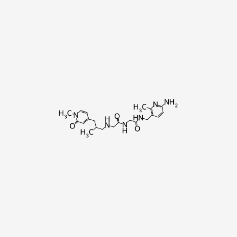 Cc1nc(N)ccc1CNC(=O)CNC(=O)CNCC(C)Cc1ccn(C)c(=O)c1